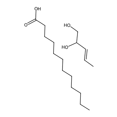 CC=CC(O)CO.CCCCCCCCCCCC(=O)O